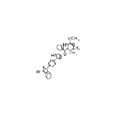 COC(=O)N[C@H](C(=O)N1CCC[C@H]1c1ncc(-c2ccc(-c3sc(Br)c4c3C3CCC4C3)cc2)[nH]1)C(C)C